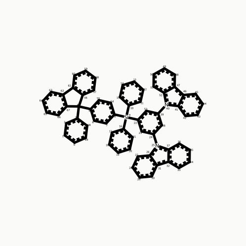 c1ccc(C2(c3ccc([Si](c4ccccc4)(c4ccccc4)c4cc(-n5c6ccccc6c6ccccc65)cc(-n5c6ccccc6c6ccccc65)c4)cc3)c3ccccc3-c3ccccc32)cc1